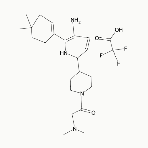 CN(C)CC(=O)N1CCC(C2C=CC(N)=C(C3=CCC(C)(C)CC3)N2)CC1.O=C(O)C(F)(F)F